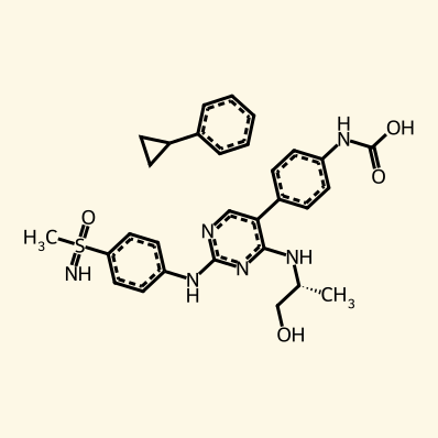 C[C@H](CO)Nc1nc(Nc2ccc(S(C)(=N)=O)cc2)ncc1-c1ccc(NC(=O)O)cc1.c1ccc(C2CC2)cc1